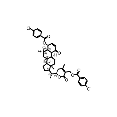 CC1=C(COC(=O)c2ccc(Cl)cc2)C(=O)O[C@@H]([C@@H](C)[C@H]2CC[C@H]3[C@@H]4C[C@H]5O[C@@]56C(C(=O)C=C[C@@H]6OC(=O)c5ccc(Cl)cc5)[C@H]4CC[C@]23C)C1